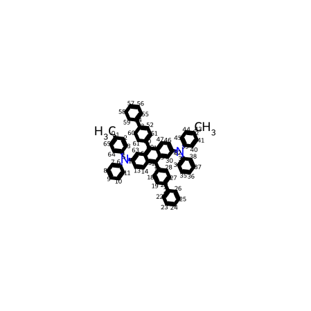 Cc1ccc(N(c2ccccc2)c2ccc3c(-c4ccc(-c5ccccc5)cc4)c4cc(N(c5ccccc5)c5ccc(C)cc5)ccc4c(C4=CC=C(C5=CC=CCC5)CC4)c3c2)cc1